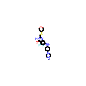 CN1CCN(C2CCC(Nc3cc4nc(CSC5CCOCC5)[nH]c(=O)c4c(F)c3F)CC2)CC1